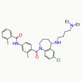 CCN(CC)CCCCNC1CCCN(C(=O)c2ccc(NC(=O)c3ccccc3C)cc2C)c2ccc(Cl)cc21